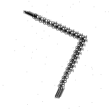 O=S(=O)(O)O.O=S(=O)(O)O.O=S(=O)(O)O.O=S(=O)(O)O.O=S(=O)(O)O.O=S(=O)(O)O.O=S(=O)(O)O.O=S(=O)(O)O.O=S(=O)(O)O.O=S(=O)(O)O.O=S(=O)(O)O.O=S(=O)(O)O.O=S(=O)(O)O.O=S(=O)(O)O.O=S(=O)(O)O.O=S(=O)([O-])[O-].O=S(=O)([O-])[O-].O=S(=O)([O-])[O-].O=S(=O)([O-])[O-].O=S(=O)([O-])[O-].O=S(=O)([O-])[O-].O=S(=O)([O-])[O-].O=S(=O)([O-])[O-].[Na+].[Na+].[Na+].[Na+].[Na+].[Na+].[Na+].[Na+].[Na+].[Na+].[Na+].[Na+].[Na+].[Na+].[Na+].[Na+]